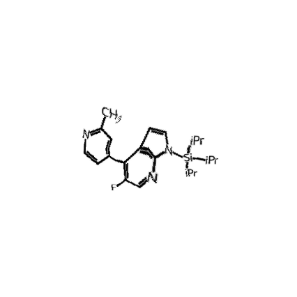 Cc1cc(-c2c(F)cnc3c2ccn3[Si](C(C)C)(C(C)C)C(C)C)ccn1